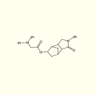 CC(C)N1CC2C3CC(CC3OC(=O)CN(C(C)C)C(C)C)C2C1=O